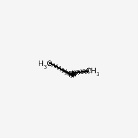 CCCCCCCCCCCCCCC[n+]1ccn(CCCCCCCCC)c1